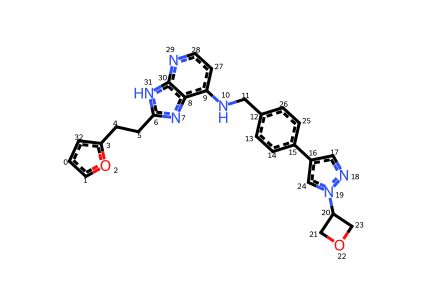 c1coc(CCc2nc3c(NCc4ccc(-c5cnn(C6COC6)c5)cc4)ccnc3[nH]2)c1